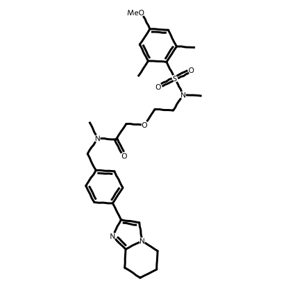 COc1cc(C)c(S(=O)(=O)N(C)CCOCC(=O)N(C)Cc2ccc(-c3cn4c(n3)CCCC4)cc2)c(C)c1